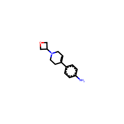 Nc1ccc(C2=CCN(C3COC3)CC2)cc1